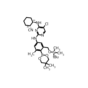 Cc1cc(Nc2ncc(Cl)c(N[C@@H]3CCCC[C@H]3C#N)n2)cc(CO[Si](C)(C)C(C)(C)C)c1B1OCC(C)(C)CO1